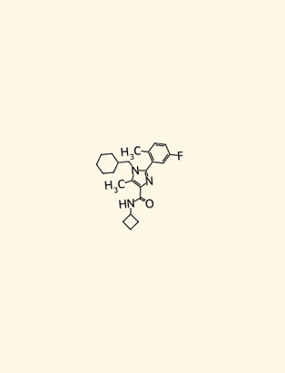 Cc1ccc(F)cc1-c1nc(C(=O)NC2CCC2)c(C)n1CC1CCCCC1